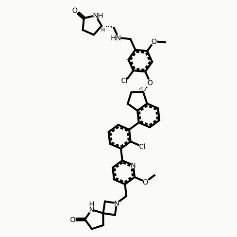 COc1cc(O[C@H]2CCc3c(-c4cccc(-c5ccc(CN6CC7(CCC(=O)N7)C6)c(OC)n5)c4Cl)cccc32)c(Cl)cc1CNC[C@@H]1CCC(=O)N1